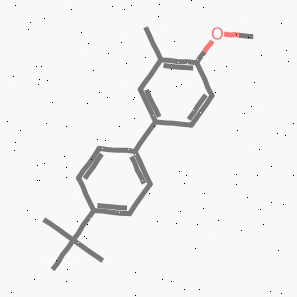 COc1ccc(-c2ccc(C(C)(C)C)cc2)cc1C